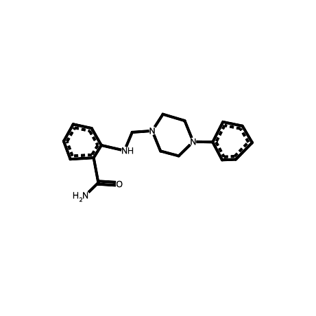 NC(=O)c1ccccc1NCN1CCN(c2ccccc2)CC1